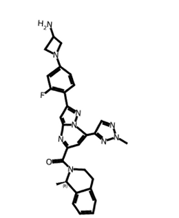 C[C@@H]1c2ccccc2CCN1C(=O)c1cc(-c2cnn(C)n2)n2nc(-c3ccc(N4CC(N)C4)cc3F)cc2n1